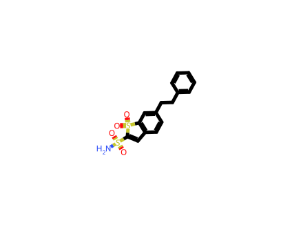 NS(=O)(=O)C1=Cc2ccc(CCc3ccccc3)cc2S1(=O)=O